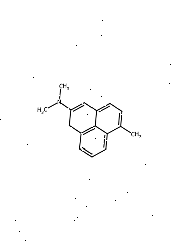 Cc1ccc2c3c(cccc13)CC(N(C)C)=C2